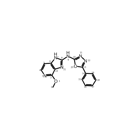 COc1nccc2[nH]c(Nc3nnc(-c4ccccc4)o3)nc12